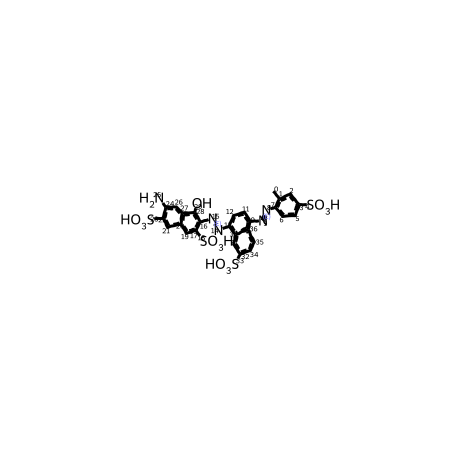 Cc1cc(S(=O)(=O)O)ccc1/N=N/c1ccc(/N=N/c2c(S(=O)(=O)O)cc3cc(S(=O)(=O)O)c(N)cc3c2O)c2cc(S(=O)(=O)O)ccc12